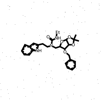 CCNC(=O)N(CCc1cc2ccccc2[nH]1)CC1OC2OC(C)(C)OC2C1OCc1ccccc1